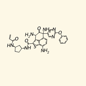 C=CC(=O)N[C@@H]1CC[C@H](NC(=O)c2sc3c(N)ccc4c3c2C(N)C(=O)C4(N)c2cnc(Oc3ccccc3)nc2)C1